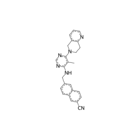 Cc1c(NCc2ccc3cc(C#N)ccc3c2)ncnc1N1CCc2ncccc2C1